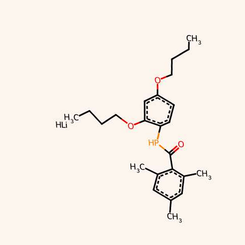 CCCCOc1ccc(PC(=O)c2c(C)cc(C)cc2C)c(OCCCC)c1.[LiH]